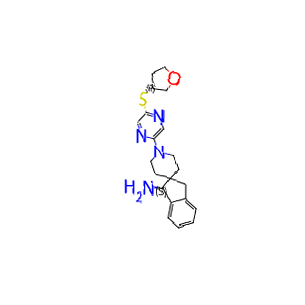 N[C@@H]1c2ccccc2CC12CCN(c1cnc(S[C@@H]3CCOC3)cn1)CC2